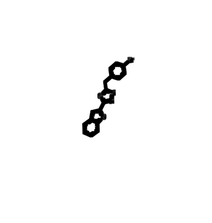 Brc1ccc(Cc2nnc(-c3cc4ccccc4o3)o2)cc1